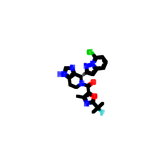 Cc1nc(C(C)(C)F)oc1C(=O)N1CCc2[nH]cnc2[C@@H]1c1cc2cccc(Cl)n2n1